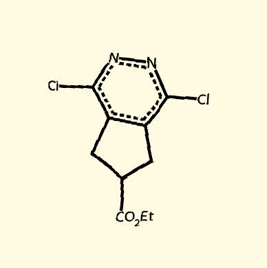 CCOC(=O)C1Cc2c(Cl)nnc(Cl)c2C1